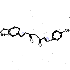 O=C(/C=C/c1ccc(O)cc1)CC(=O)/C=C/c1ccc2c(c1)NCC2